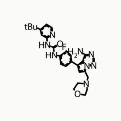 CC(C)(C)c1ccnc(NC(=O)Nc2ccc(-c3cc(CN4CCOCC4)n4ncnc(N)c34)cc2F)c1